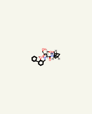 COc1c(CN2O[C@@H](CO)[C@H]([C@H](C)O)[C@H]2C(=O)N[C@H]2C[C@H]3C[C@@H]([C@@H]2C)C3(C)C)cccc1-c1ccccc1